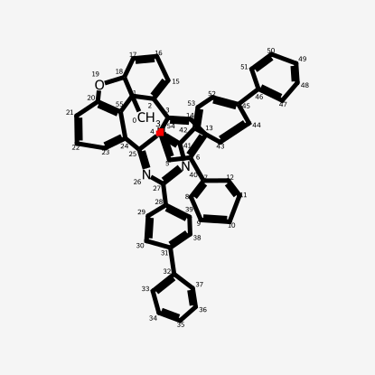 CC12C(c3ccc(-c4ccccc4)cc3)=CC=CC1Oc1cccc(-c3nc(-c4ccc(-c5ccccc5)cc4)nc(-c4ccc(-c5ccccc5)cc4)n3)c12